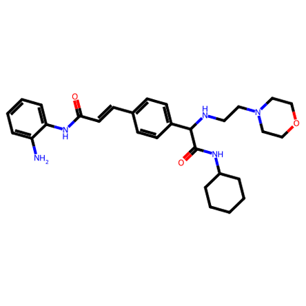 Nc1ccccc1NC(=O)C=Cc1ccc(C(NCCN2CCOCC2)C(=O)NC2CCCCC2)cc1